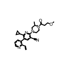 C=Cc1ncccc1-c1cc(C#N)c(N2CCN(C(=O)CCOC)C(C)C2)nc1C1CC1